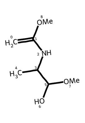 C=C(NC(C)C(O)OC)OC